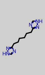 c1nc(CCCCCCc2nc[nH]n2)n[nH]1